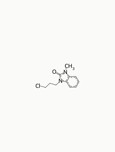 Cn1c(=O)n(CCCCl)c2ccccc21